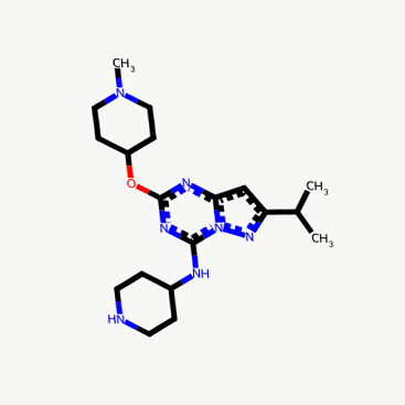 CC(C)c1cc2nc(OC3CCN(C)CC3)nc(NC3CCNCC3)n2n1